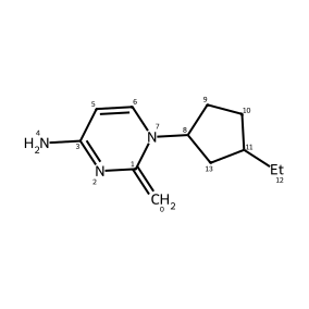 C=C1N=C(N)C=CN1C1CCC(CC)C1